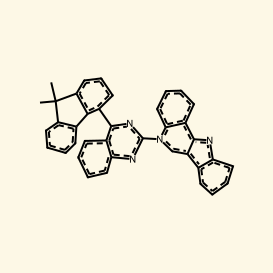 CC1(C)c2ccccc2-c2c(-c3nc(-n4cc5c6ccccc6nc-5c5ccccc54)nc4ccccc34)cccc21